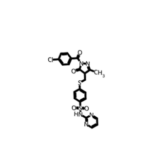 CC1=NN(C(=O)c2ccc(Cl)cc2)C(=O)C1CSc1ccc(S(=O)(=O)Nc2ncccn2)cc1